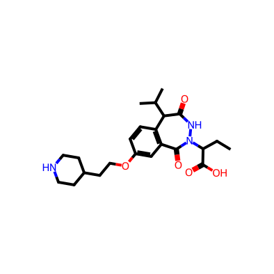 CCC(C(=O)O)N1NC(=O)C(C(C)C)c2ccc(OCCC3CCNCC3)cc2C1=O